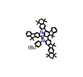 CC(C)(C)c1ccc(N2B3c4cc5c(cc4-n4c6cc7c(cc6c6c8c(c(c3c64)-c3cc4c(cc32)-c2cc3c(cc2C4(C)C)C(C)(C)CCC3(C)C)C(C)(C)c2ccccc2-8)C(C)(C)CCC7(C)C)-c2ccccc2C5(C)C)cc1